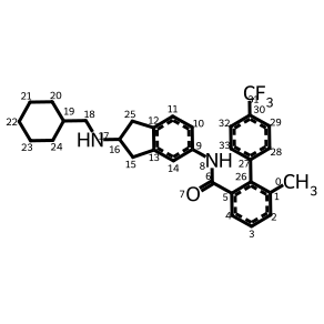 Cc1cccc(C(=O)Nc2ccc3c(c2)CC(NCC2CCCCC2)C3)c1-c1ccc(C(F)(F)F)cc1